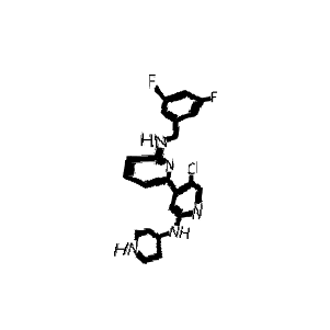 Fc1cc(F)cc(CNc2cccc(-c3cc(NC4CCNCC4)ncc3Cl)n2)c1